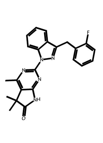 Cc1nc(-n2nc(Cc3ccccc3F)c3ccccc32)nc2c1C(C)(C)C(=O)N2